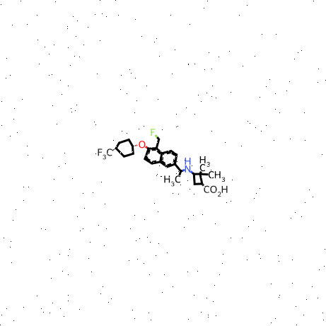 CC(NC1CC(C(=O)O)C1(C)C)c1ccc2c(CF)c(O[C@H]3CC[C@@H](C(F)(F)F)CC3)ccc2c1